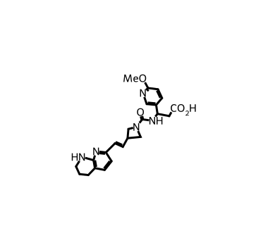 COc1ccc(C(CC(=O)O)NC(=O)N2CC(C=Cc3ccc4c(n3)NCCC4)C2)cn1